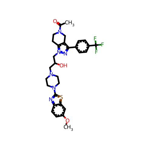 COc1ccc2nc(N3CCN(CC(O)Cn4nc(-c5ccc(C(F)(F)F)cc5)c5c4CCN(C(C)=O)C5)CC3)sc2c1